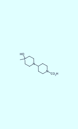 C[P]1(O)CCN(C2CCN(C(=O)O)CC2)CC1